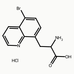 Cl.NC(Cc1ccc(Br)c2cccnc12)C(=O)O